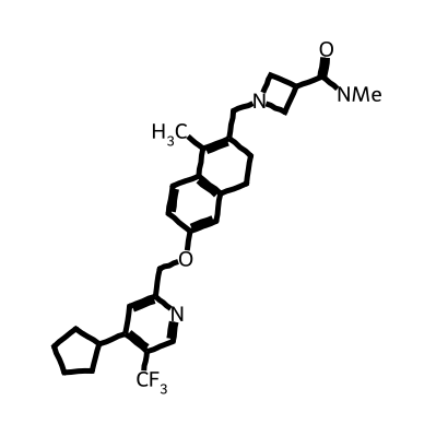 CNC(=O)C1CN(CC2=C(C)c3ccc(OCc4cc(C5CCCC5)c(C(F)(F)F)cn4)cc3CC2)C1